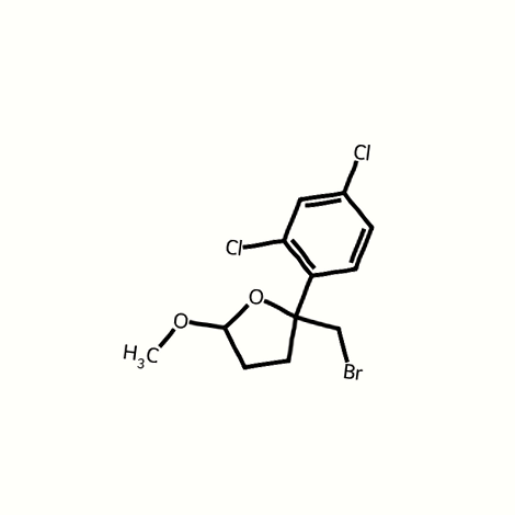 COC1CCC(CBr)(c2ccc(Cl)cc2Cl)O1